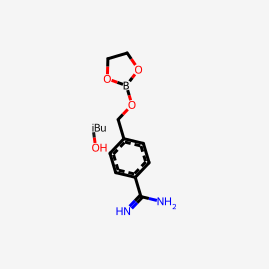 CCC(C)O.N=C(N)c1ccc(COB2OCCO2)cc1